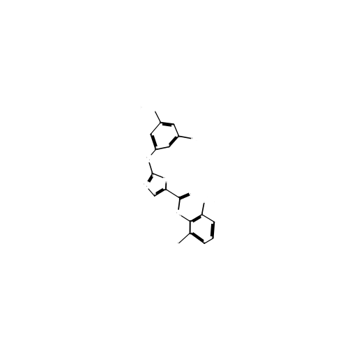 Cc1cccc(Cl)c1NC(=O)c1cnc(Nc2cc(Br)cc(C(=O)O)c2)s1